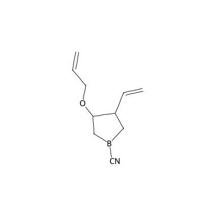 C=CCOC1CB(C#N)CC1C=C